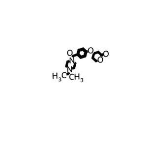 CC(C)N1CCN(C(=O)c2ccc(OC3CCOC(=O)C3)cc2)CC1